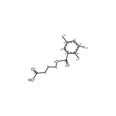 O=C(O)CCCOC(=O)c1cc(I)cc(I)c1I